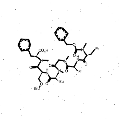 CC[C@H](C)[C@@H](C(=O)N[C@@H](COC(C)(C)C)C(=O)N(C)[C@@H](Cc1ccccc1)C(=O)O)N(C)C(=O)CN(C)C(=O)[C@@H](NC(=O)[C@H](CC(C)C)N(C)C(=O)OCc1ccccc1)C(C)C